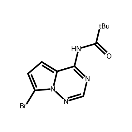 CC(C)(C)C(=O)Nc1ncnn2c(Br)ccc12